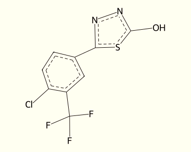 Oc1nnc(-c2ccc(Cl)c(C(F)(F)F)c2)s1